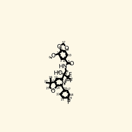 COc1cc(C(=O)NC[C@](O)(c2cc3c(c(-c4ccc(F)cc4)n2)OCC3(C)C)C(F)(F)F)cc2c1OCO2